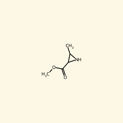 COC(=O)C1NC1C